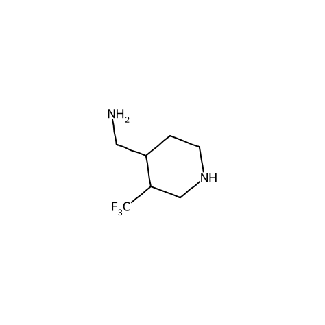 NCC1CCNCC1C(F)(F)F